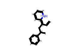 C=C/C(CC(C)c1ccccc1)=C1/C=CC=CN1